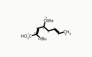 CC=CCC(C=C(C(=O)O)C(C)(C)C)OC